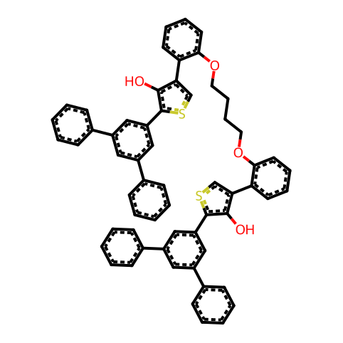 Oc1c(-c2ccccc2OCCCCOc2ccccc2-c2csc(-c3cc(-c4ccccc4)cc(-c4ccccc4)c3)c2O)csc1-c1cc(-c2ccccc2)cc(-c2ccccc2)c1